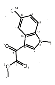 COC(=O)C(=O)c1cn(C)c2ccc(Cl)cc12